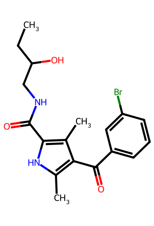 CCC(O)CNC(=O)c1[nH]c(C)c(C(=O)c2cccc(Br)c2)c1C